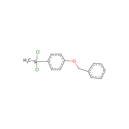 C[Si](Cl)(Cl)c1ccc(OCc2ccccc2)cc1